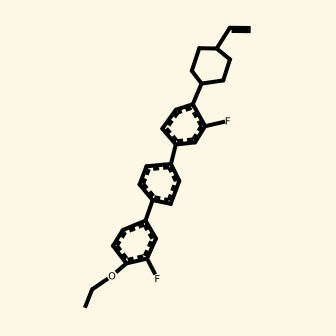 C=CC1CCC(c2ccc(-c3ccc(-c4ccc(OCC)c(F)c4)cc3)cc2F)CC1